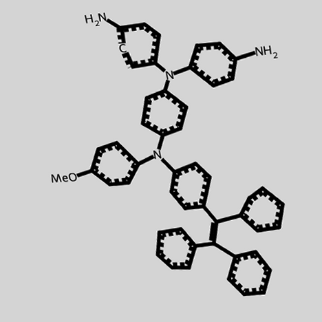 COc1ccc(N(c2ccc(C(=C(c3ccccc3)c3ccccc3)c3ccccc3)cc2)c2ccc(N(c3ccc(N)cc3)c3ccc(N)cc3)cc2)cc1